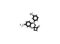 O=C1CCC12CN(c1cccc(Br)c1)c1ccc(C(F)(F)F)cc1O2